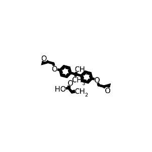 C=CC(=O)O.CC(C)(c1ccc(OCC2CO2)cc1)c1ccc(OCC2CO2)cc1